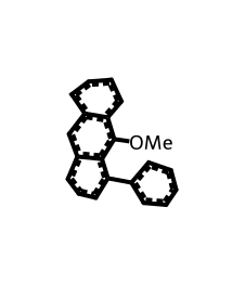 COc1c2ccccc2cc2cccc(-c3ccccc3)c12